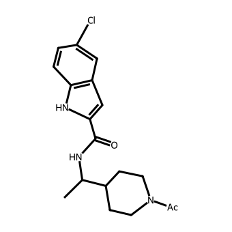 CC(=O)N1CCC(C(C)NC(=O)c2cc3cc(Cl)ccc3[nH]2)CC1